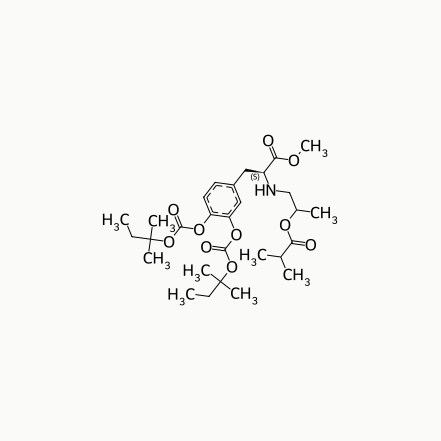 CCC(C)(C)OC(=O)Oc1ccc(C[C@H](NCC(C)OC(=O)C(C)C)C(=O)OC)cc1OC(=O)OC(C)(C)CC